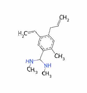 C=CCc1cc(C)c(C(NC)NC)cc1C=C